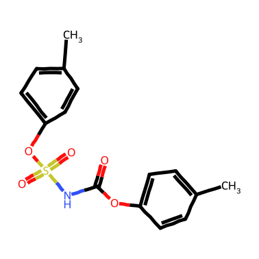 Cc1ccc(OC(=O)NS(=O)(=O)Oc2ccc(C)cc2)cc1